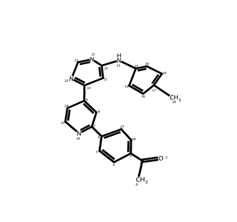 CC(=O)c1ccc(-c2cc(-c3cc(Nc4ccc(C)cc4)ncn3)ccn2)cc1